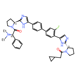 CCN(CC)[C@@H](C(=O)N1CCC[C@H]1c1ncc(-c2ccc(-c3ccc(-c4cnc([C@@H]5CCCN5C(=O)CC5CC5)[nH]4)c(F)c3)cc2)[nH]1)c1ccccc1